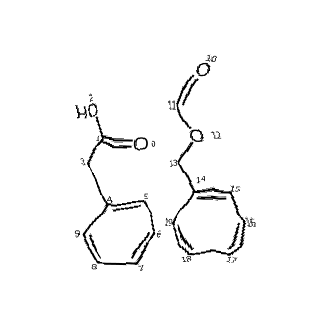 O=C(O)Cc1ccccc1.O=COCc1ccccc1